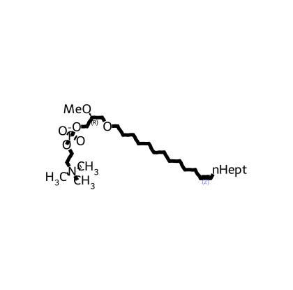 CCCCCCC/C=C\CCCCCCCCCCCOC[C@H](COP(=O)([O-])OCC[N+](C)(C)C)OC